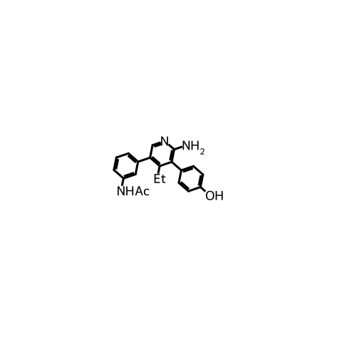 CCc1c(-c2cccc(NC(C)=O)c2)cnc(N)c1-c1ccc(O)cc1